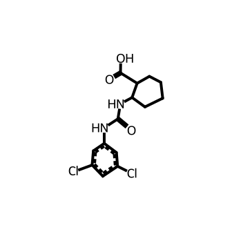 O=C(Nc1cc(Cl)cc(Cl)c1)NC1CCCCC1C(=O)O